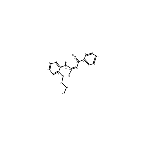 CCCSc1ccccc1N/C(C)=C\C(=O)c1ccccc1